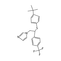 CC(C)(C)c1ccc(SC(Cn2ccnc2)c2ccc(C(F)(F)F)cc2)cc1